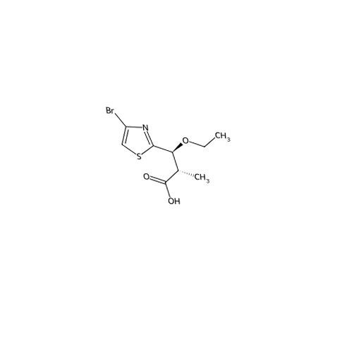 CCO[C@H](c1nc(Br)cs1)[C@H](C)C(=O)O